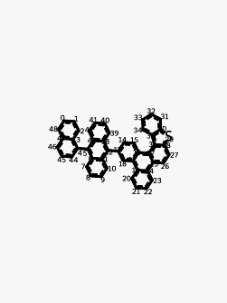 c1ccc2c(-c3c4ccccc4c(-c4ccc5c(c4)c4ccccc4c4ccc6sc7ccccc7c6c45)c4ccccc34)cccc2c1